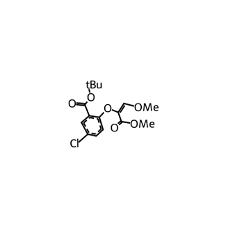 CO/C=C(/Oc1ccc(Cl)cc1C(=O)OC(C)(C)C)C(=O)OC